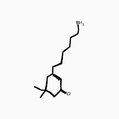 BCCCCCCC1=CC(=O)CC(C)(C)C1